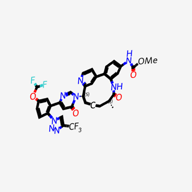 COC(=O)Nc1ccc2c(c1)NC(=O)[C@H](C)CCC[C@H](n1cnc(-c3cc(OC(F)F)ccc3-n3cc(C(F)(F)F)nn3)cc1=O)c1cc-2ccn1